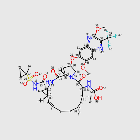 CC[C@@H]1C[C@H](C)CCC=C[C@@H]2C[C@@]2(C(=O)NS(=O)(=O)C2(C)CC2)NC(=O)[C@@H]2C[C@@H](Oc3cc4nc(OC)c(C(F)(F)F)nc4cc3OC)CN2C(=O)[C@H]1NC(=O)O